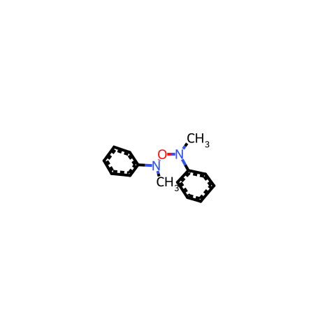 CN(ON(C)c1ccccc1)c1ccccc1